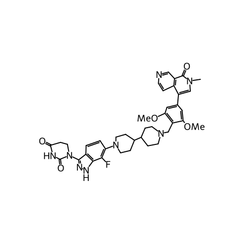 COc1cc(-c2cn(C)c(=O)c3cnccc23)cc(OC)c1CN1CCC(C2CCN(c3ccc4c(N5CCC(=O)NC5=O)n[nH]c4c3F)CC2)CC1